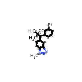 CCc1cccc(C(c2ccc3c(c2)nnn3C)C(C)(C)C(=O)O)c1